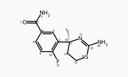 C[C@@]1(c2cc(C(N)=O)ccc2F)CCSC(N)=N1